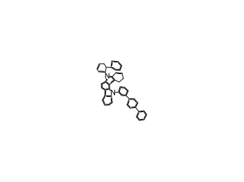 C1=CCC(c2ccccc2)C(n2c3c(c4c2ccc2c5ccccc5n(-c5cccc(-c6ccc(-c7ccccc7)cc6)c5)c24)CCC=C3)=C1